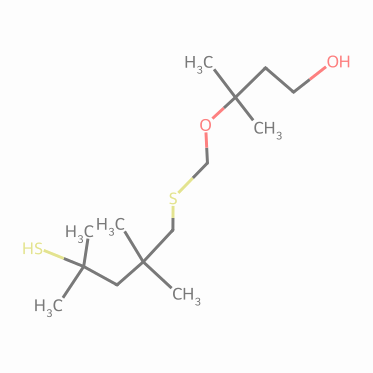 CC(C)(S)CC(C)(C)CSCOC(C)(C)CCO